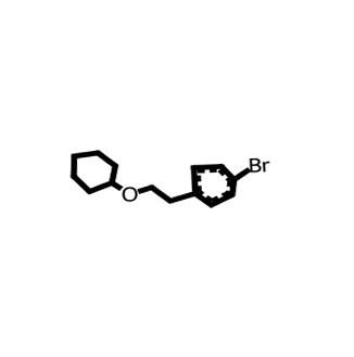 Brc1ccc(CCOC2CCCCC2)cc1